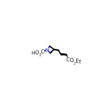 CCOC(=O)/C=C/CC1CN(C(=O)O)C1